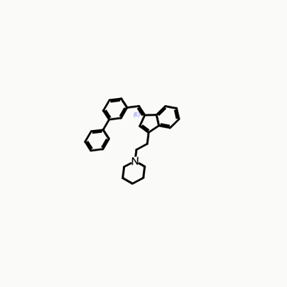 C1=C(CCN2CCCCC2)c2ccccc2/C1=C/c1cccc(-c2ccccc2)c1